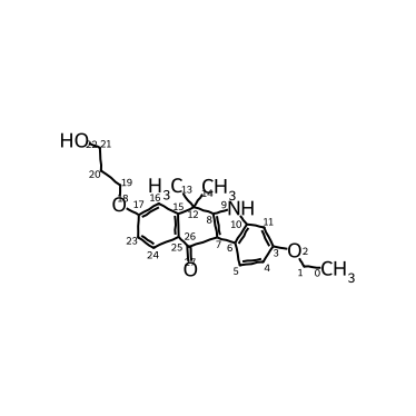 CCOc1ccc2c3c([nH]c2c1)C(C)(C)c1cc(OCCCO)ccc1C3=O